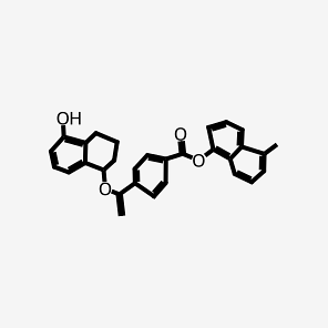 C=C(OC1CCCc2c(O)cccc21)c1ccc(C(=O)Oc2cccc3c(C)cccc23)cc1